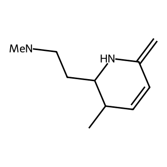 C=C1C=CC(C)C(CCNC)N1